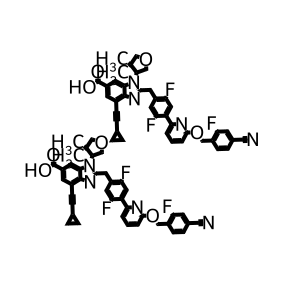 CC1(C)COCC1n1c(Cc2cc(F)c(-c3cccc(OCc4ccc(C#N)cc4F)n3)cc2F)nc2c(C#CC3CC3)cc(C(=O)O)cc21.CC1(C)COCC1n1c(Cc2cc(F)c(-c3cccc(OCc4ccc(C#N)cc4F)n3)cc2F)nc2c(C#CC3CC3)cc(C(=O)O)cc21